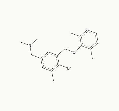 Cc1cc(CN(C)C)cc(COc2c(C)cccc2C)c1Br